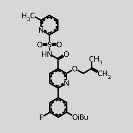 C=C(C)COc1nc(-c2cc(F)cc(OCC(C)C)c2)ccc1C(=O)NS(=O)(=O)c1cccc(C)n1